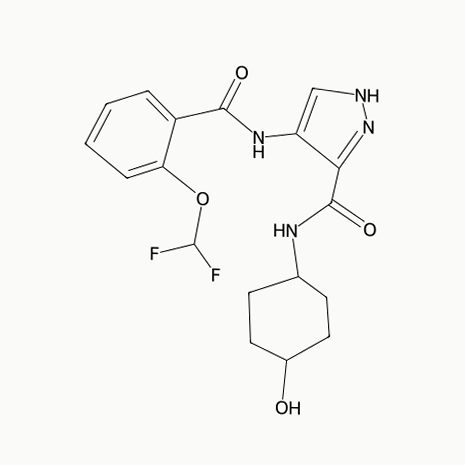 O=C(Nc1c[nH]nc1C(=O)NC1CCC(O)CC1)c1ccccc1OC(F)F